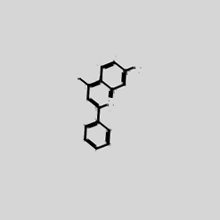 Clc1cc(-c2ccccc2)nc2cc(Br)ccc12